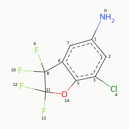 Nc1cc(Cl)c2c(c1)C(F)(F)C(F)(F)O2